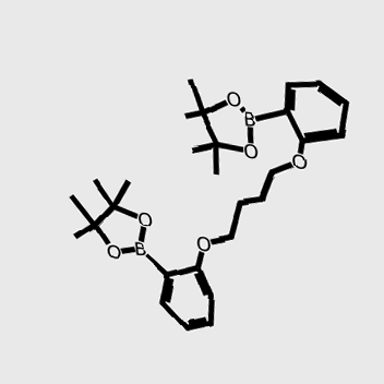 CC1(C)OB(c2ccccc2OCCCCOc2ccccc2B2OC(C)(C)C(C)(C)O2)OC1(C)C